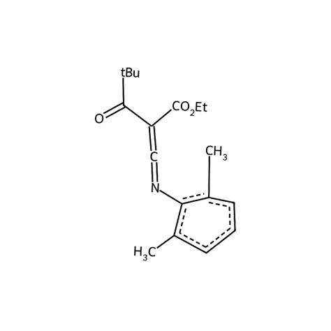 CCOC(=O)C(=C=Nc1c(C)cccc1C)C(=O)C(C)(C)C